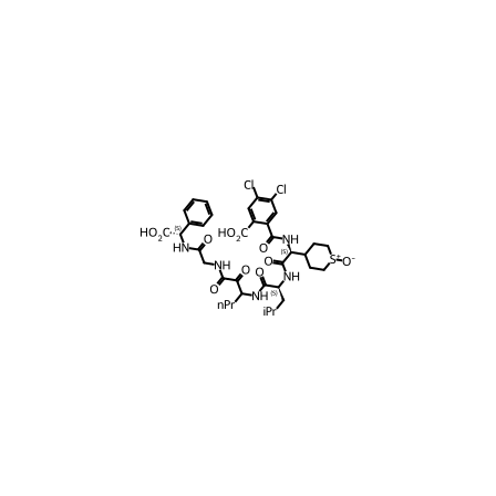 CCCC(NC(=O)[C@H](CC(C)C)NC(=O)[C@@H](NC(=O)c1cc(Cl)c(Cl)cc1C(=O)O)C1CC[S+]([O-])CC1)C(=O)C(=O)NCC(=O)N[C@H](C(=O)O)c1ccccc1